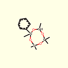 C[SiH]1O[Si](C)(C)O[Si](C)(C)O[Si](C)(c2ccccc2)O1